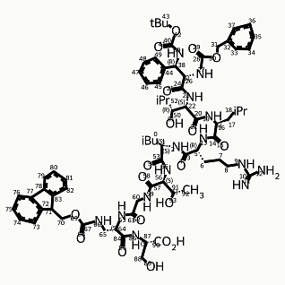 CC[C@H](C)[C@H](NC(=O)[C@@H](CCCNC(=N)N)NC(=O)[C@H](CC(C)C)NC(=O)[C@@H](NC(=O)[C@@H](NC(=O)OCc1ccccc1)[C@H](NC(=O)OC(C)(C)C)c1ccccc1)[C@H](O)C(C)C)C(=O)N[C@H](C(=O)NCC(=O)N[C@@H](CNC(=O)OCC1c2ccccc2-c2ccccc21)C(=O)N[C@@H](CO)C(=O)O)[C@H](C)O